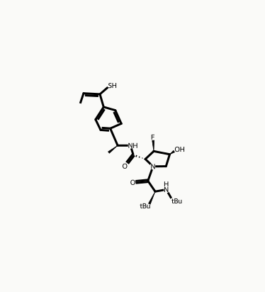 C/C=C(/S)c1ccc([C@H](C)NC(=O)[C@@H]2[C@@H](F)[C@@H](O)CN2C(=O)[C@@H](NC(C)(C)C)C(C)(C)C)cc1